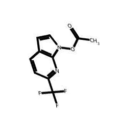 CC(=O)On1ccc2ccc(C(F)(F)F)nc21